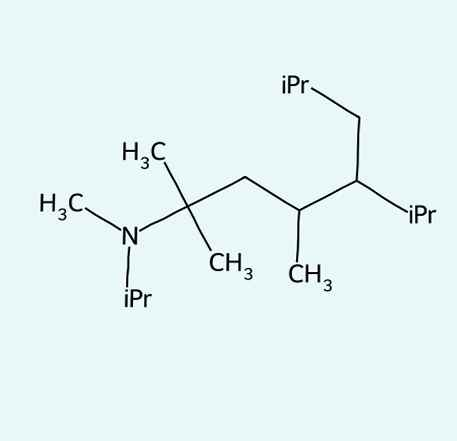 CC(C)CC(C(C)C)C(C)CC(C)(C)N(C)C(C)C